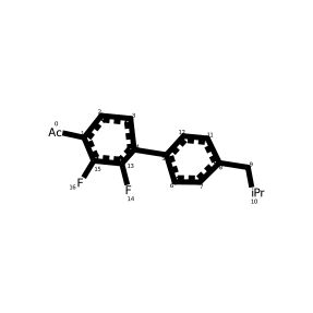 CC(=O)c1ccc(-c2ccc(CC(C)C)cc2)c(F)c1F